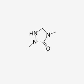 CN1CNN(C)C1=O